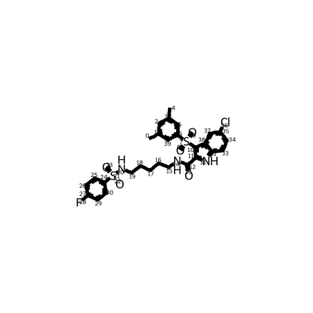 Cc1cc(C)cc(S(=O)(=O)c2c(C(=O)NCCCCCNS(=O)(=O)c3ccc(F)cc3)[nH]c3ccc(Cl)cc23)c1